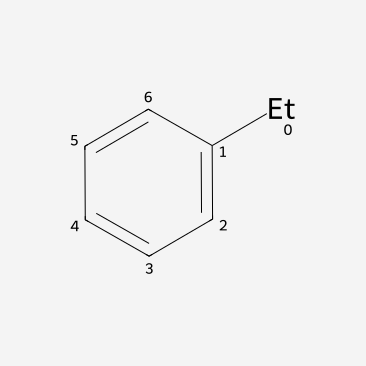 [3CH3]Cc1ccccc1